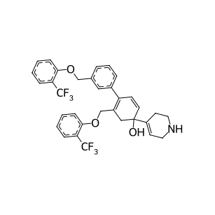 OC1(C2=CCNCC2)C=CC(c2cccc(COc3ccccc3C(F)(F)F)c2)=C(COc2ccccc2C(F)(F)F)C1